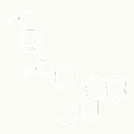 O=C(O)c1ccc(N2CC3(CCN(Cc4cc(CF)ccc4-c4ccccc4Cl)CC3)OC2=O)cc1